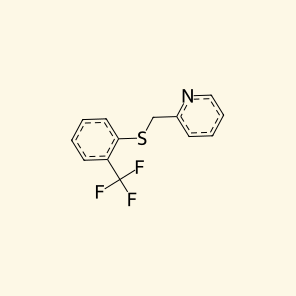 FC(F)(F)c1ccccc1SCc1ccccn1